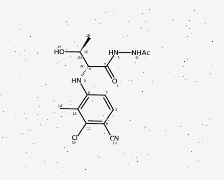 CC(=O)NNC(=O)[C@H](Nc1ccc(C#N)c(Cl)c1C)[C@H](C)O